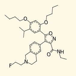 CCCCOc1cc(OCCCC)c(C(C)C)cc1-c1onc(C(=O)NCC)c1-c1ccc2c(c1)CCN(CCF)C2